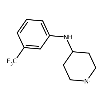 FC(F)(F)c1cccc(NC2CC[N]CC2)c1